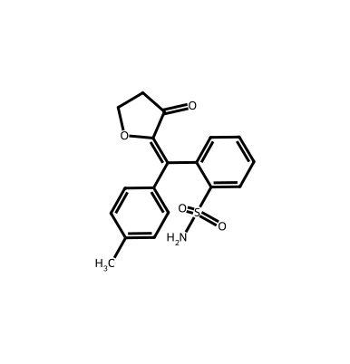 Cc1ccc(C(=C2OCCC2=O)c2ccccc2S(N)(=O)=O)cc1